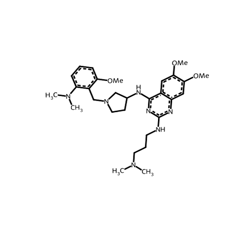 COc1cc2nc(NCCCN(C)C)nc(NC3CCN(Cc4c(OC)cccc4N(C)C)C3)c2cc1OC